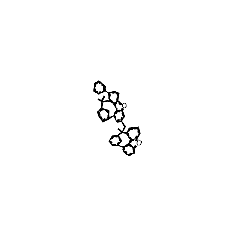 CC1(C)c2cccc(c2)-c2cc(CC3(C)c4cccc(c4)-c4cccc5oc6cccc3c6c45)cc3oc4ccc(-c5ccccc5)c1c4c23